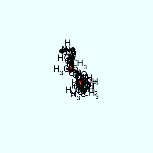 Cc1c(-c2ccc(N3CCc4cccc(C(=O)Nc5nc6ccccc6s5)c4C3)nc2C(=O)O)cnn1CC12CC3(C)CC(C)(C1)CC(OCCN(CCC(N)=O)C(=O)OCc1ccc(NC(=O)C(C)NC(=O)C(N)C(C)C)cc1CCC1O[C@H](C(=O)O)[C@@H](O)[C@H](O)[C@H]1O)(C3)C2